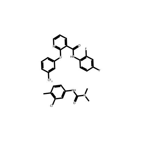 Cc1ccc(NC(=O)N(C)C)cc1Cl.O=C(Nc1ccc(F)cc1F)c1cccnc1Oc1cccc(C(F)(F)F)c1